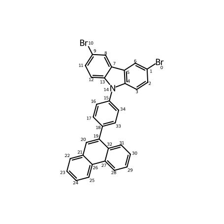 Brc1ccc2c(c1)c1cc(Br)ccc1n2-c1ccc(-c2cc3ccccc3c3ccccc23)cc1